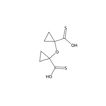 OC(=S)C1(OC2(C(O)=S)CC2)CC1